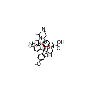 COc1ccc(C(c2ccccc2)(c2ccc(OC)cc2)[C@@]2(O)CCC(C(C)C(=O)O)[C@]2(O)OP(N)OC(CC#N)N(C(C)C)C(C)C)cc1